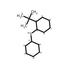 CC(C)(C)C1CCCCC1SC1CCCCC1